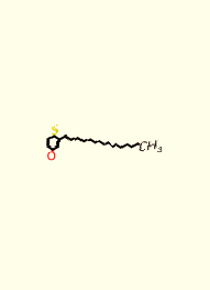 CCCCCCCCCCCCCCCCC1=CC(=O)C=CC1=S